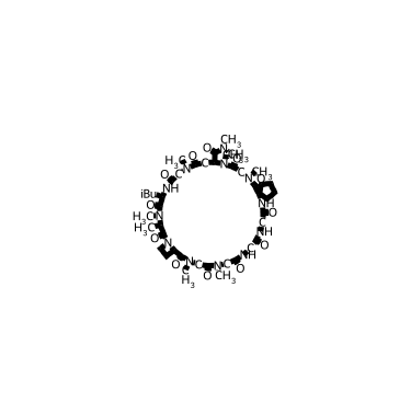 CCC(C)C1NC(=O)CN(C)C(=O)CC(C(=O)N(C)C)N(C)C(=O)CN(C)C(=O)C2(CCCC2)NC(=O)CNC(=O)CNC(=O)CN(C)C(=O)CN(C)C(=O)C2CCN2C(=O)C(C)N(C)C1=O